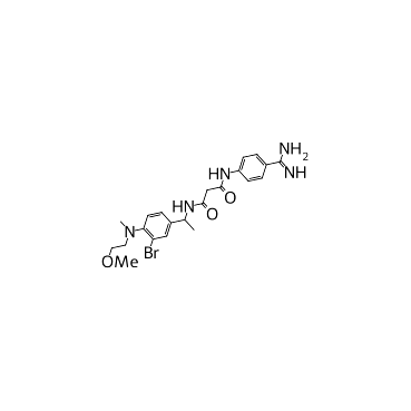 COCCN(C)c1ccc(C(C)NC(=O)CC(=O)Nc2ccc(C(=N)N)cc2)cc1Br